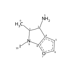 CC1C(N)c2ccoc2N1I